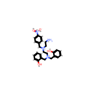 NCCN(CCN(Cc1ccccc1O)Cc1ccccc1O)Cc1ccc([N+](=O)[O-])cc1